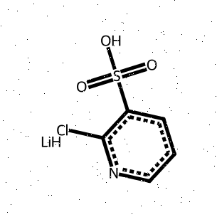 O=S(=O)(O)c1cccnc1Cl.[LiH]